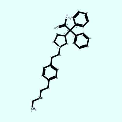 CCNCCc1ccc(CCN2CCC(C(C(N)=O)(c3ccccc3)c3ccccc3)C2)cc1